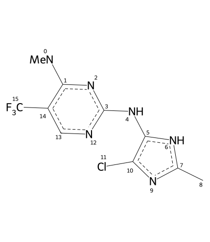 CNc1nc(Nc2[nH]c(C)nc2Cl)ncc1C(F)(F)F